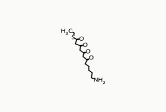 CCSC(=O)CC(=O)CC(=O)CC(=O)CCCCCN